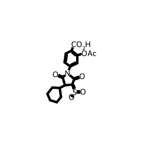 CC(=O)Oc1cc(N2C(=O)C(=S(=O)=O)C(C3CCCCC3)C2=O)ccc1C(=O)O